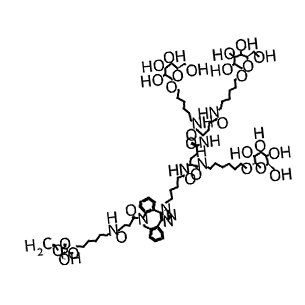 C=COP(=O)(O)OCCCCCCNC(=O)CCC(=O)N1Cc2ccccc2-c2nnn(CCCCCC(=O)NC(CCC(=O)NC(CCC(=O)NCCCCCCO[C@H]3O[C@H](CO)C(O)C(O)C3O)C(=O)NCCCCCCO[C@H]3O[C@H](CO)C(O)C(O)C3O)C(=O)NCCCCCCO[C@H]3O[C@H](CO)C(O)C(O)C3O)c2-c2ccccc21